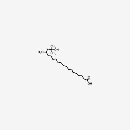 CC(CCCCCCCCCCCCCCCC(=O)O)CC(C)(C)O